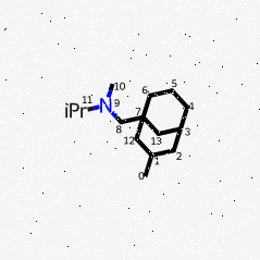 CC1CC2CCCC(CN(C)C(C)C)(C1)C2